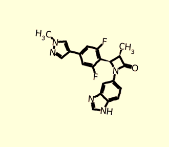 C[C@H]1C(=O)N(c2ccc3[nH]cnc3c2)[C@H]1c1c(F)cc(-c2cnn(C)c2)cc1F